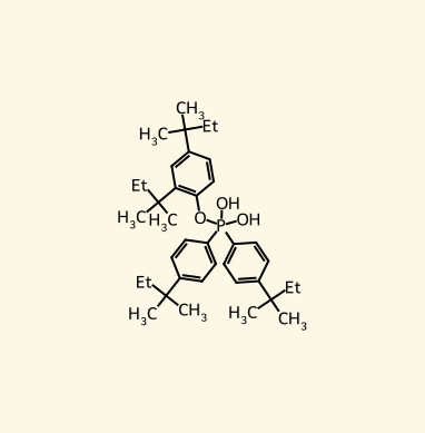 CCC(C)(C)c1ccc(P(O)(O)(Oc2ccc(C(C)(C)CC)cc2C(C)(C)CC)c2ccc(C(C)(C)CC)cc2)cc1